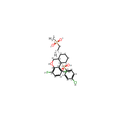 CS(=O)(=O)CC[C@@H]1CCC[C@@]2(S(=O)(=O)c3ccc(Cl)cc3)c3c(F)ccc(F)c3OC[C@@H]12